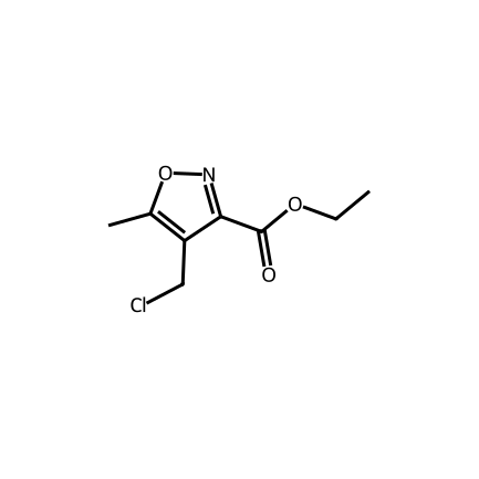 CCOC(=O)c1noc(C)c1CCl